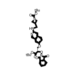 CC(C)(C)OC(=O)[C@H](COc1ccc2cc(NCC3CN(C(=O)OC(C)(C)C)C3)ncc2c1)ON1C(=O)c2ccccc2C1=O